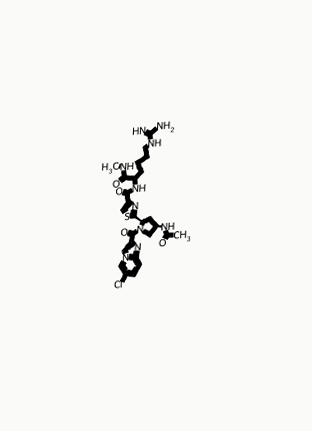 CNC(=O)C(CCCCNC(=N)N)NC(=O)c1csc([C@H]2C[C@@H](NC(C)=O)CN2C(=O)c2cn3cc(Cl)ccc3n2)n1